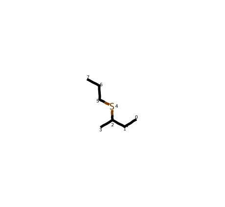 C[CH]C(C)SCCC